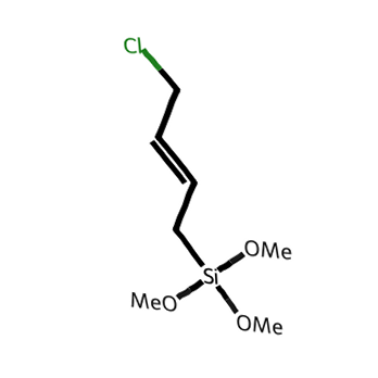 CO[Si](CC=CCCl)(OC)OC